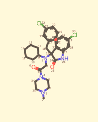 CN1CCN(C(=O)CN(C2CCCCC2)C2(Cc3cccc(Cl)c3)C(=O)Nc3cc(Cl)ccc32)CC1